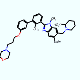 COc1cc2nc(-c3cccc(-c4cccc(OCCCN5CCOCC5)c4)c3C)n(C)c2cc1CN1CCCCC1C(=O)O